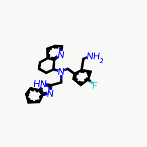 NCc1cc(F)ccc1CN(Cc1nc2ccccc2[nH]1)C1CCCc2cccnc21